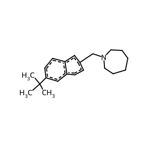 CC(C)(C)c1ccc2cc(CN3CCCCCC3)ccc2c1